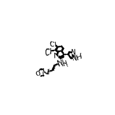 Clc1ccc2c(-c3cn[nH]c3)cc(NCCN3CCOCC3)nc2c1Cl